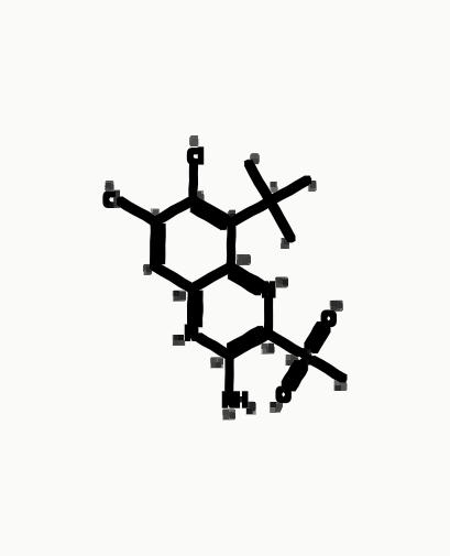 CC(C)(C)c1c(Cl)c(Cl)cc2nc(N)c(S(C)(=O)=O)nc12